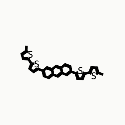 Cc1ccc(-c2ccc(-c3ccc4cc5cc(-c6ccc(-c7ccc(C)s7)s6)ccc5cc4c3)s2)s1